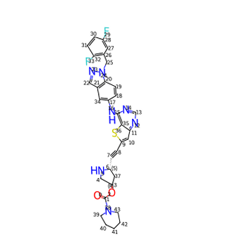 O=C(O[C@H]1CN[C@H](C#Cc2cc3ncnc(Nc4ccc5c(cnn5Cc5cc(F)ccc5F)c4)c3s2)C1)N1CCCCC1